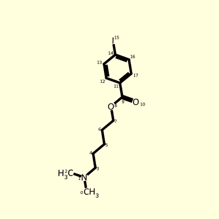 CN(C)CCCCCOC(=O)c1ccc(I)cc1